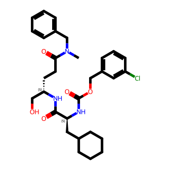 CN(Cc1ccccc1)C(=O)CC[C@@H](CO)NC(=O)[C@H](CC1CCCCC1)NC(=O)OCc1cccc(Cl)c1